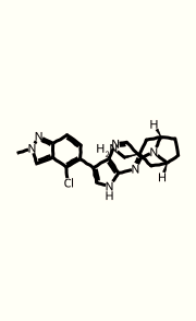 Cn1cc2c(Cl)c(-c3c[nH]c4nc(N5[C@@H]6CC[C@H]5C[C@H](CN)C6)cnc34)ccc2n1